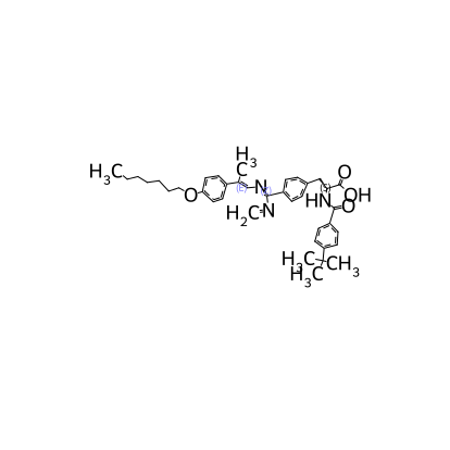 C=N/C(=N\C=C(/C)c1ccc(OCCCCCCC)cc1)c1ccc(C[C@H](NC(=O)c2ccc(C(C)(C)C)cc2)C(=O)O)cc1